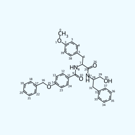 COc1ccc(CC(NC(=O)c2ccc(OCc3ccccc3)cc2)C(=O)NC(CO)Cc2ccccc2)cc1